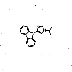 CC(C)n1cnc(-n2c3ccccc3c3ccccc32)c1